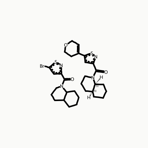 O=C(c1cc(Br)sn1)N1CCCC2CCCCC21.O=C(c1cc(C2=CCOCC2)sn1)N1CCC[C@@H]2CCCC[C@@H]21